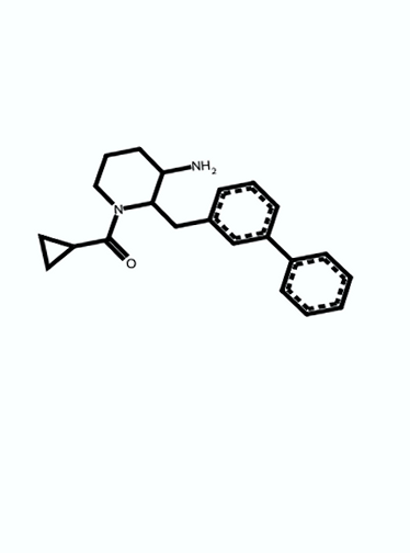 NC1CCCN(C(=O)C2CC2)C1Cc1cccc(-c2ccccc2)c1